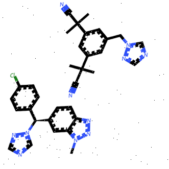 CC(C)(C#N)c1cc(Cn2cncn2)cc(C(C)(C)C#N)c1.Cn1nnc2ccc([C@H](c3ccc(Cl)cc3)n3cncn3)cc21